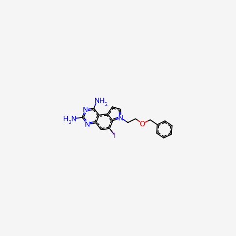 Nc1nc(N)c2c(cc(I)c3c2ccn3CCOCc2ccccc2)n1